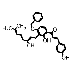 CC(C)=CCC/C(C)=C/Cc1c(OCc2ccccc2)ccc(C(=O)/C=C/c2ccc(O)cc2)c1O